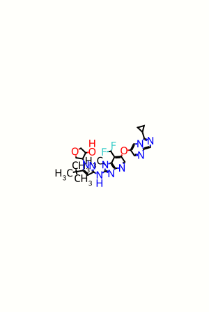 Cn1c(Nc2cc(C(C)(C)C)n(C3COCC3O)n2)nc2ncc(Oc3cnc4cnc(C5CC5)n4c3)c(C(F)F)c21